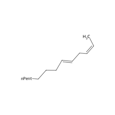 [CH2]CCCCCCC/C=C/C/C=C\C